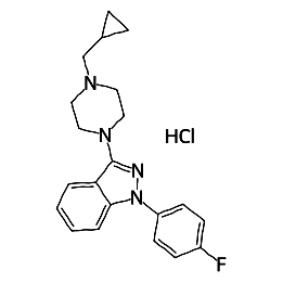 Cl.Fc1ccc(-n2nc(N3CCN(CC4CC4)CC3)c3ccccc32)cc1